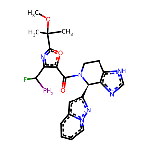 COC(C)(C)c1nc(C(F)P)c(C(=O)N2CCc3[nH]cnc3[C@H]2c2cc3ccccn3n2)o1